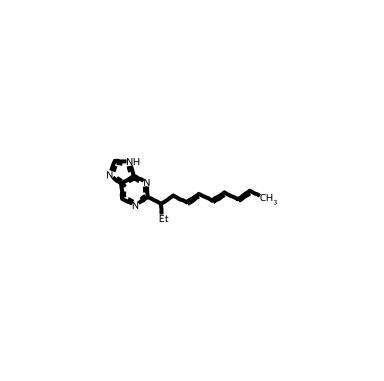 CC=CC=CC=CCC(CC)c1ncc2nc[nH]c2n1